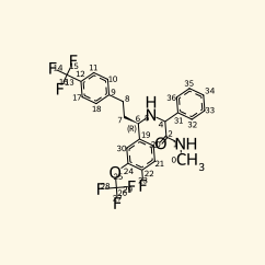 CNC(=O)C(N[C@H](CCc1ccc(C(F)(F)F)cc1)c1ccc(F)c(OC(F)(F)F)c1)c1ccccc1